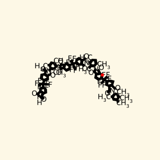 Cc1cc(C)c(N2C(=O)c3ccc(C(c4ccc5c(c4)C(=O)N(c4c(C)cc(C)c(N6C(=O)c7ccc(C(c8ccc9c(c8)C(=O)N(c8c(C)cc(C)c(N%10C(=O)c%11ccc(C(c%12ccc%13c(c%12)C(=O)NC%13=O)(C(F)(F)F)C(F)(F)F)cc%11C%10=O)c8C)C9=O)(C(F)(F)F)C(F)(F)F)cc7C6=O)c4C)C5=O)(C(F)(F)F)C(F)(F)F)cc3C2=O)c(C)c1C